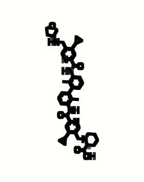 Cc1c(NC(=O)c2cc(C3CC3)c(CN[C@@H]3CCOC3)cn2)cccc1-c1cccc(NC(=O)c2cc(C3CC3)c(CN3CCCC[C@H]3C(=O)O)cn2)c1C